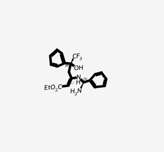 CCOC(=O)/C=C(\C[C@@](O)(c1ccccc1)C(F)(F)F)N[C@H](N)c1ccccc1